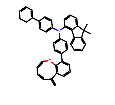 C=C1/C=C\C=C/Oc2c1cccc2-c1ccc(N(c2ccc(C3=CC=CCC3)cc2)c2cccc3c2-c2ccccc2C3(C)C)cc1